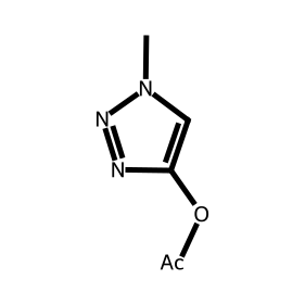 CC(=O)Oc1cn(C)nn1